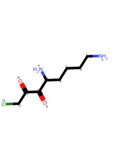 NCCCCC(N)C(=O)C(=O)CCl